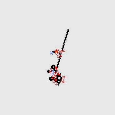 CCCCCCCCCCCCCCCC(=O)OC[C@@H](COP(=O)([O-])OCC[N+](C)(C)C)OC(=O)CCCCCCCC(=O)O[C@@H](C(=O)OC1C[C@@]2(O)[C@@H](OC(=O)c3ccccc3)[C@@H]3[C@]4(OC(C)=O)CO[C@@H]4C[C@H](O)[C@@]3(C)C(=O)[C@H](O)C(=C1C)C2(C)C)[C@@H](NC(=O)OC(C)(C)C)c1ccccc1